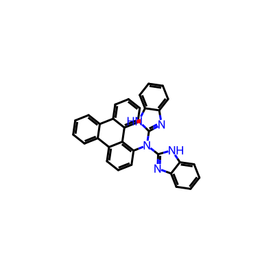 c1ccc2[nH]c(N(c3nc4ccccc4[nH]3)c3cccc4c5ccccc5c5ccccc5c34)nc2c1